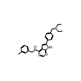 CCN(CC)Cc1ccc(-c2cc3c(NCc4cccc(C)c4)ncnc3[nH]2)cc1